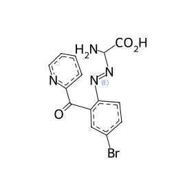 NC(/N=N/c1ccc(Br)cc1C(=O)c1ccccn1)C(=O)O